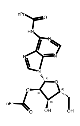 CCCC(=O)Nc1ncnc2c1ncn2[C@@H]1O[C@H](CO)[C@@H](O)[C@H]1OC(=O)CCC